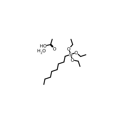 CC(=O)O.CCCCCCCC[Si](OCC)(OCC)OCC.O